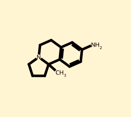 CC12CCCN1CCc1cc(N)ccc12